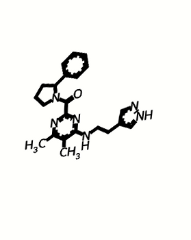 Cc1nc(C(=O)N2CCCC2c2ccccc2)nc(NCCc2cn[nH]c2)c1C